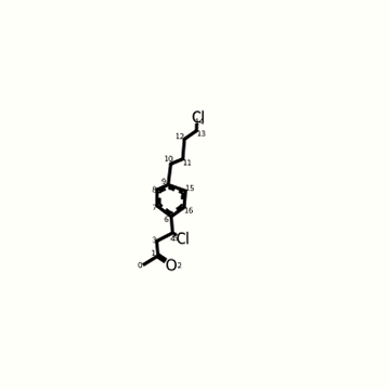 CC(=O)CC(Cl)c1ccc(CCCCCl)cc1